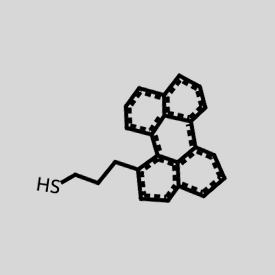 SCCCc1ccc2cccc3c4cccc5cccc(c1c23)c54